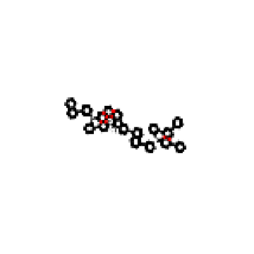 CC1(C)c2ccc(-c3cccc4c(-c5cccc(N(c6ccc(-c7ccccc7)cc6)c6ccccc6-c6cccc(-c7ccccc7)c6)c5)cccc34)cc2-c2cccc(-c3ccc(N(c4cccc(-c5cccc6ccccc56)c4)c4ccccc4-c4cccc(-c5ccccc5)c4)cc3)c21